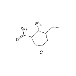 CCC1CCCC(C(=O)O)C1N.[Cr]